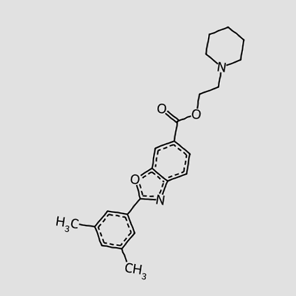 Cc1cc(C)cc(-c2nc3ccc(C(=O)OCCN4CCCCC4)cc3o2)c1